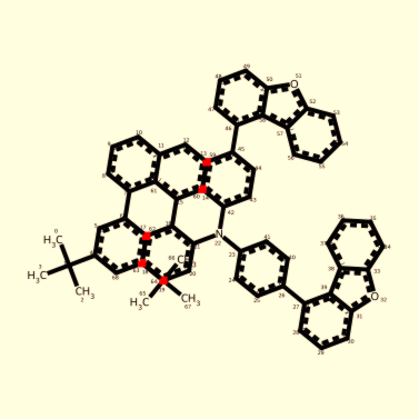 CC(C)(C)c1cc(-c2cccc3cccc(-c4ccccc4N(c4ccc(-c5cccc6oc7ccccc7c56)cc4)c4ccc(-c5cccc6oc7ccccc7c56)cc4)c23)cc(C(C)(C)C)c1